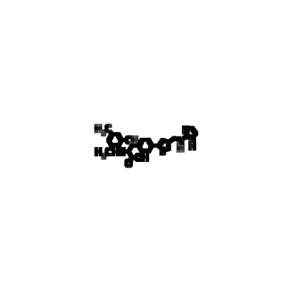 Cc1cc(C)c(NC(Cc2ccc(-c3cc(CNc4ncc[nH]4)cs3)cc2)C(=O)O)c(C)c1